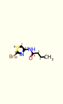 CCCC(=O)Nc1csc(Br)n1